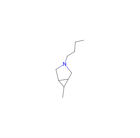 CCCCN1CC2C(C)C2C1